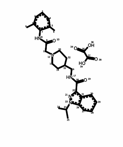 Cc1cccc(C)c1NC(=O)CN1CCC(CNC(=O)c2nn(C(C)C)c3ccccc23)CC1.O=C(O)C(=O)O